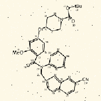 COc1cc(OC2CCN(C(=O)OC(C)(C)C)CC2)ccc1C(=O)N(Cc1ccc2ccc(C#N)cc2c1)c1ccccc1